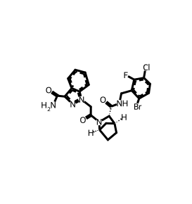 NC(=O)c1nn(CC(=O)N2[C@@H]3CC[C@@H](C3)[C@H]2C(=O)NCc2c(Br)ccc(Cl)c2F)c2ccccc12